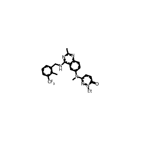 CCn1nc(N(C)c2ccc3nc(C)nc(NCc4cccc(C(F)(F)F)c4C)c3c2)ccc1=O